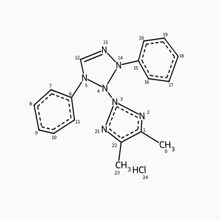 Cc1nn(N2N(c3ccccc3)C=NN2c2ccccc2)nc1C.Cl